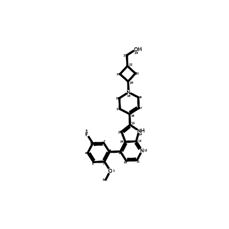 COc1ccc(F)cc1-c1ccnc2[nH]c(C3=CCN(C4CC(CO)C4)CC3)cc12